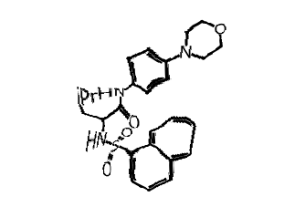 CC(C)CC(NS(=O)(=O)c1cccc2ccccc12)C(=O)Nc1ccc(N2CCOCC2)cc1